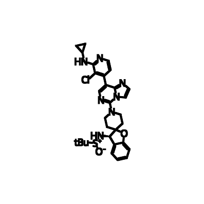 CC(C)(C)[S+]([O-])N[C@@H]1c2ccccc2OC12CCN(c1ncc(-c3ccnc(NC4CC4)c3Cl)c3nccn13)CC2